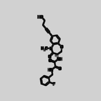 CN1C(=O)[C@@H](NC(=O)C(=O)NCc2ccccc2F)COc2ccc(C#CCCO)cc21